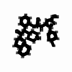 Cc1ccc(-n2nc(C(C)(C)C)cc2NC(=O)Nc2ccccc2C(C(=O)c2ccc3cccnc3n2)C2CCNCC2)cc1